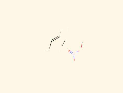 CC(=O)O.CO[N+](=O)[O-].O=C(O)/C=C/C(=O)O